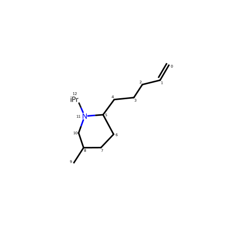 C=CCCCC1CCC(C)CN1C(C)C